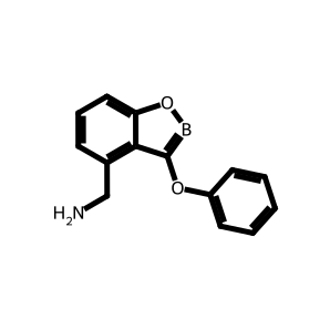 NCc1cccc2obc(Oc3ccccc3)c12